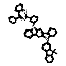 CC1(C)c2ccccc2-c2ccc(-n3c4ccccc4c4cc5c(cc43)c3ccccc3n5-c3cccc(-c4nc(-c5ccccc5)c5ccccc5n4)c3)cc21